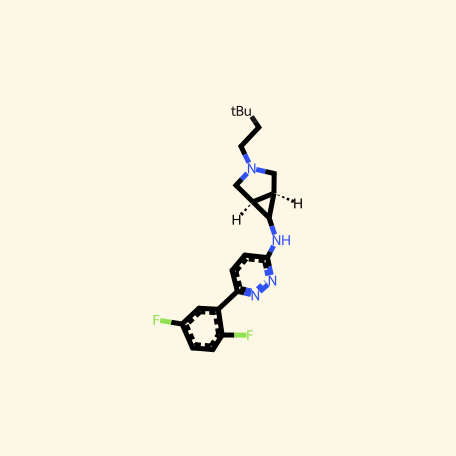 CC(C)(C)CCN1C[C@@H]2C(Nc3ccc(-c4cc(F)ccc4F)nn3)[C@@H]2C1